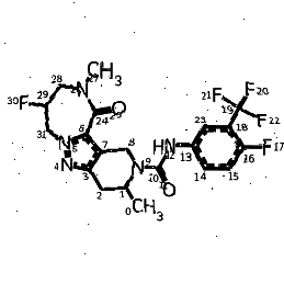 CC1Cc2nn3c(c2CN1C(=O)Nc1ccc(F)c(C(F)(F)F)c1)C(=O)N(C)CC(F)C3